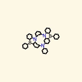 c1ccc(B2c3ccccc3N3c4cccc(c4)N4c5ccccc5B(c5ccccc5)c5ccc(cc54)N(c4ccccc4)c4ccc2c3c4)cc1